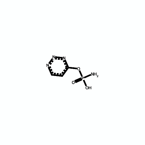 NP(=O)(O)Oc1ccnnn1